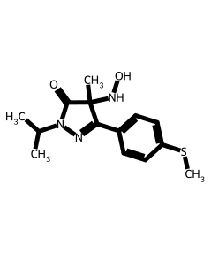 CSc1ccc(C2=NN(C(C)C)C(=O)C2(C)NO)cc1